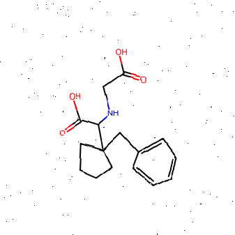 O=C(O)CNC(C(=O)O)C1(Cc2ccccc2)CCCC1